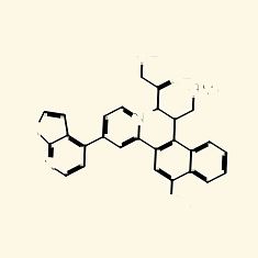 C=C(CO)C1C(COC)c2c(cc(C(C)(C)C)c3ccccc23)-c2cc(-c3ccnc4sccc34)cc[n+]21